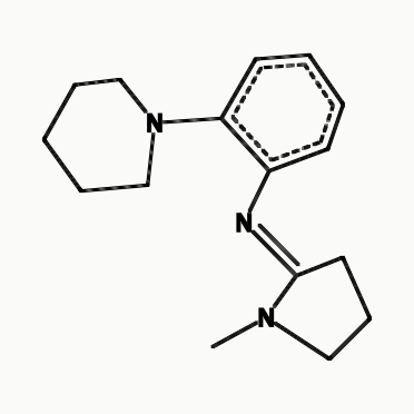 CN1CCCC1=Nc1ccccc1N1CCCCC1